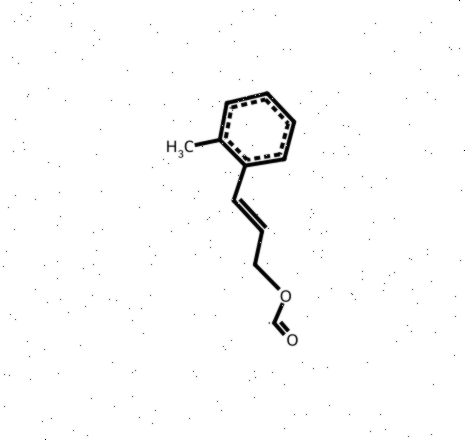 Cc1ccccc1C=CCO[C]=O